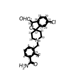 NC(=O)c1cccc(CN2CCC3(CC2)OC(C=O)c2ccc(Cl)cc23)c1F